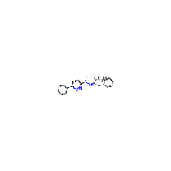 O=C(O)/C(Cc1ccccc1)=N\Nc1ccc(-c2ccccc2)nn1